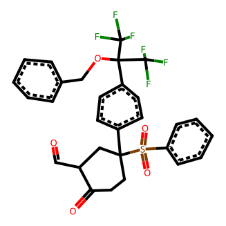 O=CC1CC(c2ccc(C(OCc3ccccc3)(C(F)(F)F)C(F)(F)F)cc2)(S(=O)(=O)c2ccccc2)CCC1=O